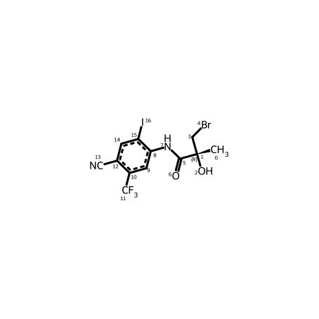 C[C@](O)(CBr)C(=O)Nc1cc(C(F)(F)F)c(C#N)cc1I